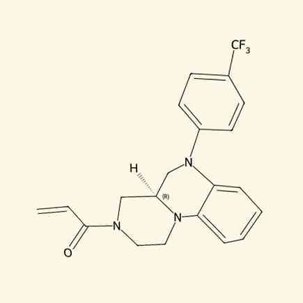 C=CC(=O)N1CCN2c3ccccc3N(c3ccc(C(F)(F)F)cc3)C[C@@H]2C1